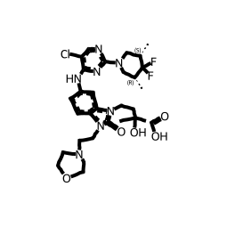 C[C@@H]1CN(c2ncc(Cl)c(Nc3ccc4c(c3)n(CCC(C)(C)O)c(=O)n4CCN3CCOCC3)n2)C[C@H](C)C1(F)F.O=CO